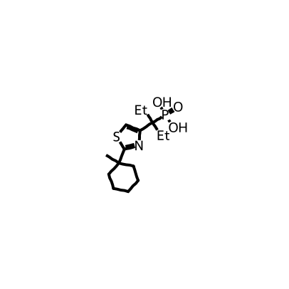 CCC(CC)(c1csc(C2(C)CCCCC2)n1)P(=O)(O)O